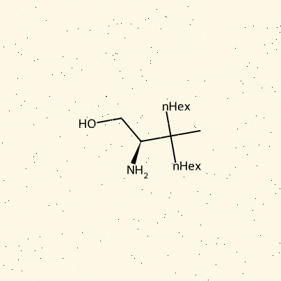 CCCCCCC(C)(CCCCCC)[C@@H](N)CO